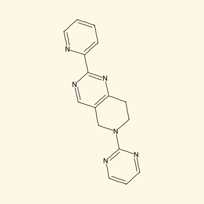 c1ccc(-c2ncc3c(n2)CCN(c2ncccn2)C3)nc1